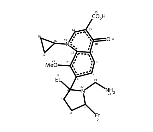 CCC1CCC(CC)(c2ccc3c(=O)c(C(=O)O)cn(C4CC4)c3c2OC)N1CN